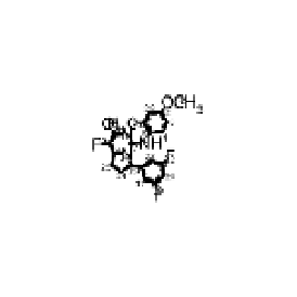 COc1ccc(Nc2nc(=O)c(F)c3n2C(c2cc(F)cc(F)c2)CC3)c(C)c1